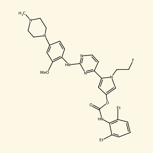 CCc1cccc(CC)c1NC(=O)Oc1cc(-c2ccnc(Nc3ccc(N4CCN(C)CC4)cc3OC)n2)n(CCF)c1